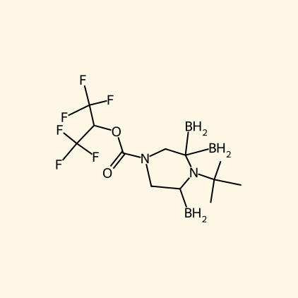 BC1CN(C(=O)OC(C(F)(F)F)C(F)(F)F)CC(B)(B)N1C(C)(C)C